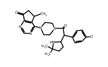 CC1CC(=O)c2ncnc(N3CCN(C(=O)C(c4ccc(Cl)cc4)C4CCC(C)(C)N4)CC3)c21